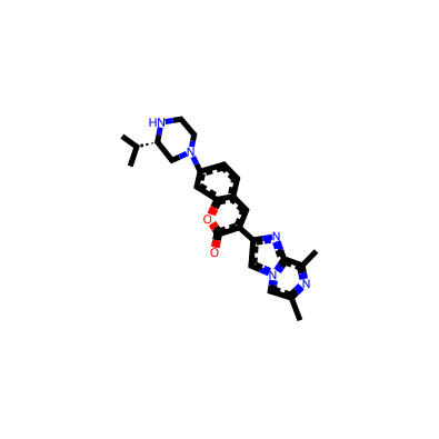 Cc1cn2cc(-c3cc4ccc(N5CCN[C@@H](C(C)C)C5)cc4oc3=O)nc2c(C)n1